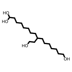 OCCCCCCCC(CCO)CCCCCCCC(O)O